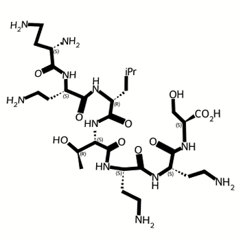 CC(C)C[C@@H](NC(=O)[C@H](CCN)NC(=O)[C@@H](N)CCN)C(=O)N[C@H](C(=O)N[C@@H](CCN)C(=O)N[C@@H](CCN)C(=O)N[C@@H](CO)C(=O)O)[C@@H](C)O